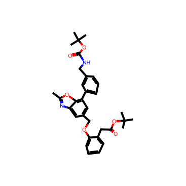 Cc1nc2cc(COc3ccccc3CC(=O)OC(C)(C)C)cc(-c3cccc(CNC(=O)OC(C)(C)C)c3)c2o1